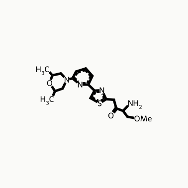 COCC(N)C(=O)Cc1nc(-c2cccc(N3CC(C)OC(C)C3)n2)cs1